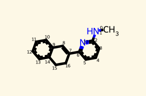 CNc1cccc(C2=Cc3ccccc3CC2)n1